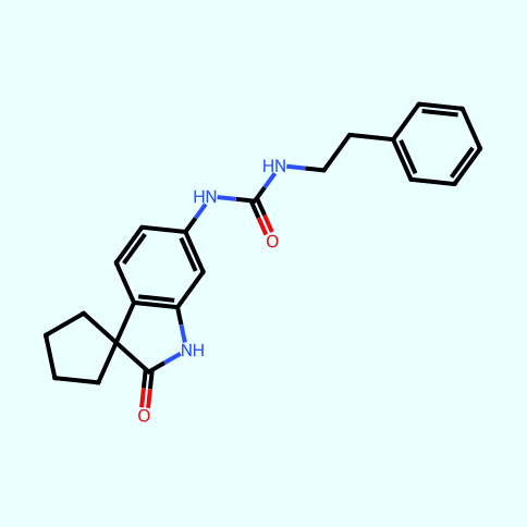 O=C(NCCc1ccccc1)Nc1ccc2c(c1)NC(=O)C21CCCC1